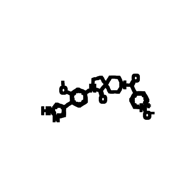 COc1cc(N2CCC3(CCN(C(=O)c4cc[n+]([O-])cc4)CC3)C2=O)ccc1-c1cn[nH]c1